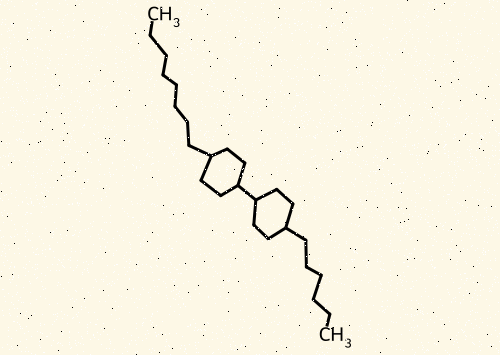 CCCCCCCCC1CCC(C2CCC(CCCCCC)CC2)CC1